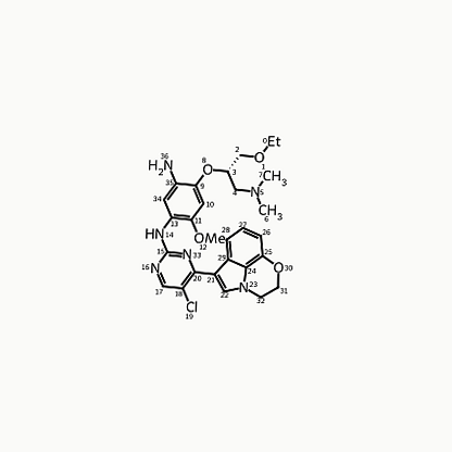 CCOC[C@H](CN(C)C)Oc1cc(OC)c(Nc2ncc(Cl)c(-c3cn4c5c(cccc35)OCC4)n2)cc1N